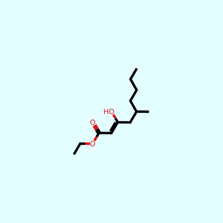 CCCCC(C)C/C(O)=C/C(=O)OCC